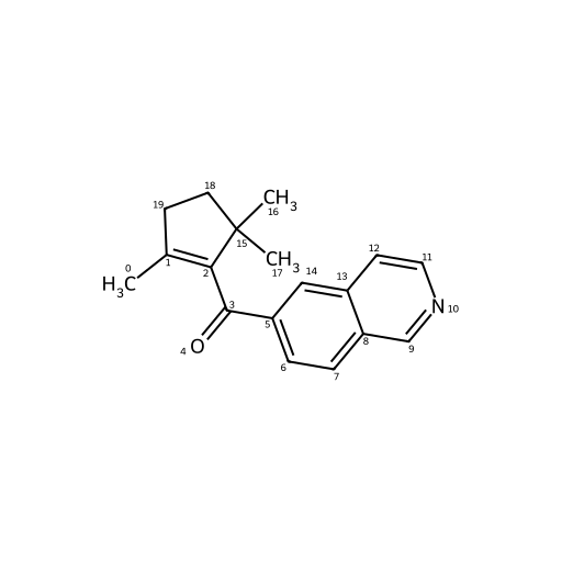 CC1=C(C(=O)c2ccc3cnccc3c2)C(C)(C)CC1